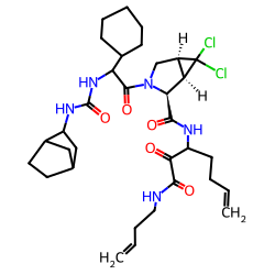 C=CCCNC(=O)C(=O)C(CCC=C)NC(=O)[C@@H]1[C@H]2[C@@H](CN1C(=O)C(NC(=O)NC1CC3CCC1C3)C1CCCCC1)C2(Cl)Cl